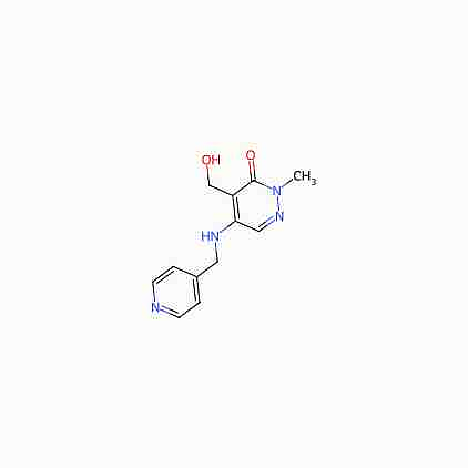 Cn1ncc(NCc2ccncc2)c(CO)c1=O